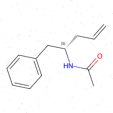 C=CC[C@@H](Cc1ccccc1)NC(C)=O